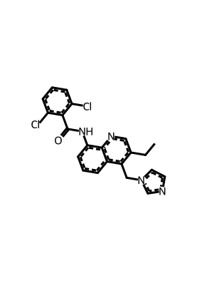 CCc1cnc2c(NC(=O)c3c(Cl)cccc3Cl)cccc2c1Cn1ccnc1